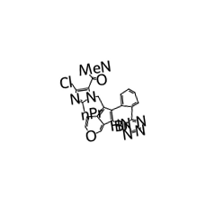 CCCc1nc(Cl)c(C(=O)NC)n1Cc1c2ccocc-2c(Br)c1-c1ccccc1-c1nnn[nH]1